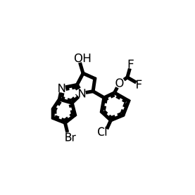 OC1CC(c2cc(Cl)ccc2OC(F)F)n2c1nc1ccc(Br)cc12